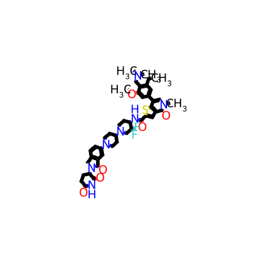 CCc1cc(-c2cn(C)c(=O)c3cc(C(=O)NC4CCN(C5CCN(c6ccc7c(c6)C(=O)N(C6CCC(=O)NC6=O)C7)CC5)CC4(F)F)sc23)cc(OC)c1CN(C)C